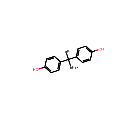 CCCCCCC(CCC)(c1ccc(O)cc1)c1ccc(O)cc1